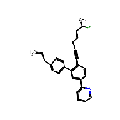 C=CCc1ccc(-c2cc(-c3ccccn3)ccc2C#CCCCC(C)F)cc1